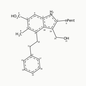 CCCCCc1[nH]c2cc(C(=O)O)c(C)c(CCc3ccccc3)c2c1CO